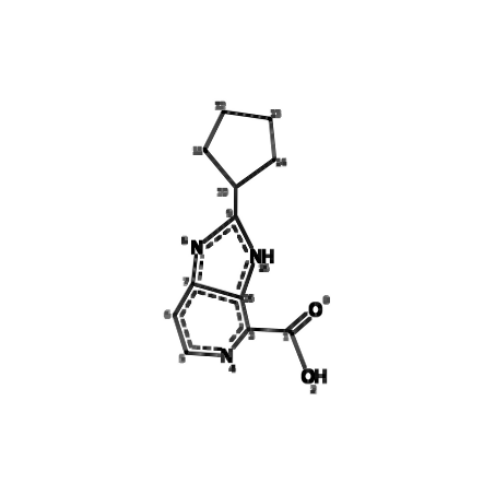 O=C(O)c1nccc2nc(C3CCCC3)[nH]c12